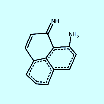 N=C1C=Cc2cccc3ccc(N)c1c23